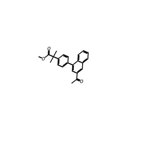 COC(=O)C(C)(C)c1ccc(-c2cc(C(C)=O)cc3ccccc23)cc1